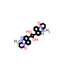 CC12CCCC(=O)N1c1cccc3c(C4C(O)C(c5ccc6c7c(cccc57)N5C(=O)CCCC5(C)N6)C4O)ccc(c13)N2